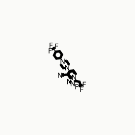 N#Cc1c(N2CCN([C@H]3CC[C@H](C(F)(F)F)CC3)CC2)ccn2c(CC(F)(F)F)nnc12